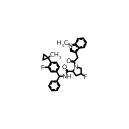 Cn1cc(CC(=O)N2CC(F)CC2C(=O)NC(c2ccccc2)c2ccc(C3(C)CC3)c(F)c2)c2ccccc21